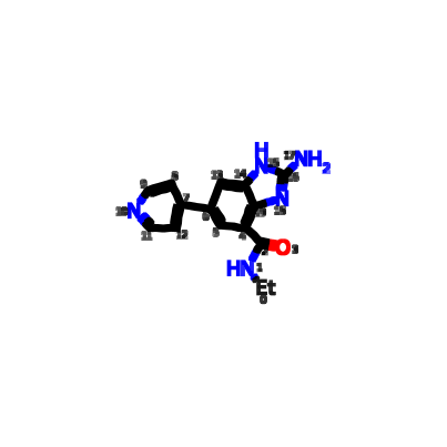 CCNC(=O)c1cc(-c2ccncc2)cc2[nH]c(N)nc12